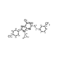 O=c1[nH]c(SCc2cccc(C(F)(F)F)c2)nc2c1nc(-c1ccc(Cl)cc1)n2C1CC1